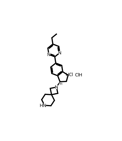 CCc1cnc(-c2ccc3c(c2)CC[C@H]3N2CC3(CCNCC3)C2)nc1.Cl.Cl